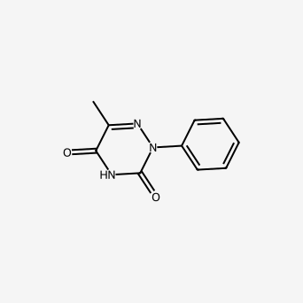 Cc1nn(-c2ccccc2)c(=O)[nH]c1=O